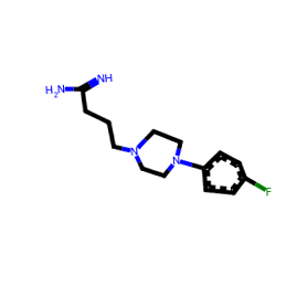 N=C(N)CCCN1CCN(c2ccc(F)cc2)CC1